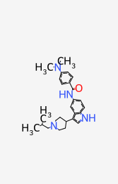 CC(C)CN1CCC(c2c[nH]c3ccc(NC(=O)c4ccc(N(C)C)cc4)cc23)CC1